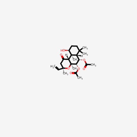 C=C[C@@]1(C)CC(=O)[C@H]2[C@](C)(O1)[C@@H](OC(C)=O)[C@@H](OC(C)=O)[C@H]1C(C)(C)CC[C@H](O)[C@@]12C